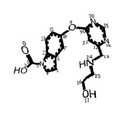 O=C(O)n1ccc2cc(Oc3cc(CNCCO)ncn3)ccc21